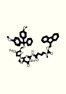 COc1ccc(C(OC[C@H]2O[C@@H](N3C=NC4C(=O)NC(NC(=O)CCCN(C)C(=O)OCC5c6ccccc6-c6ccccc65)=NC43)C[C@H]2O)(c2ccccc2)c2ccc(OC)cc2)cc1